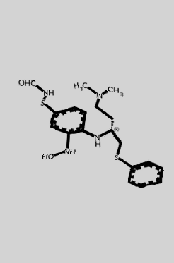 CN(C)CC[C@H](CSc1ccccc1)Nc1ccc(SNC=O)cc1NO